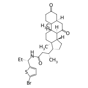 CC[C@H](NC(=O)C[C@@H](C)[C@H]1CC[C@H]2[C@@H]3C(=O)C[C@@H]4CC(=O)CC[C@]4(C)[C@H]3CC[C@]12C)c1ccc(Br)s1